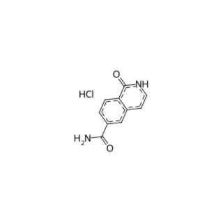 Cl.NC(=O)c1ccc2c(=O)[nH]ccc2c1